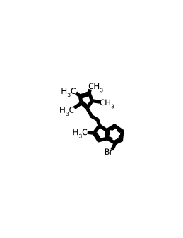 CC1=Cc2c(Br)cccc2C1CCC1=C(C)C(C)=C(C)C1C